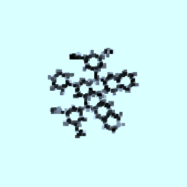 CC(C)(C)c1cc(N2c3cc4ccccc4cc3B3c4cc5ccccc5cc4N(c4cc(C(C)(C)C)cc(C(C)(C)C)c4)c4cc(-c5ncccn5)cc2c43)cc(C(C)(C)C)c1